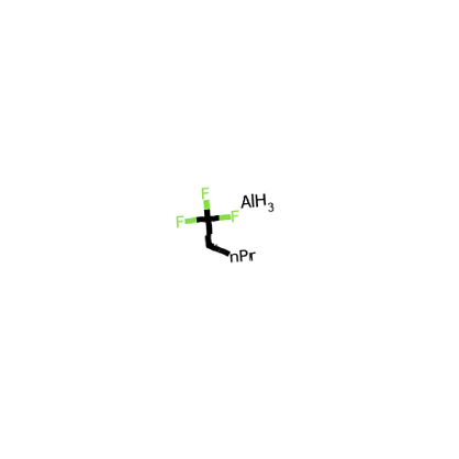 CCCCC(F)(F)F.[AlH3]